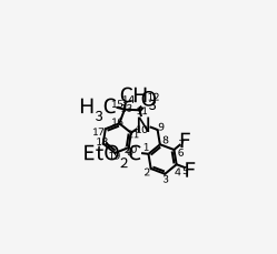 CCOC(=O)c1ccc(F)c(F)c1CN1C(=O)C(C)(C)c2ccccc21